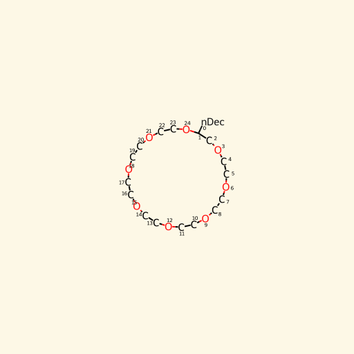 CCCCCCCCCCC1COCCOCCOCCOCCOCCOCCOCCO1